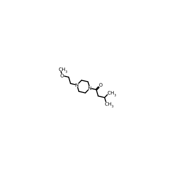 COCCN1CCN(C(=O)CC(C)C)CC1